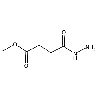 COC(=O)CCC(=O)NN